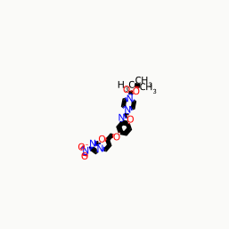 CC(C)(C)OC(=O)N1CCN(c2nc3cc(OCC4CCn5cc([N+](=O)[O-])nc5O4)ccc3o2)CC1